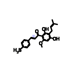 Bc1ccc(/C=C/C(=O)c2c(OC)cc(O)c(CC=C(C)C)c2O)cc1